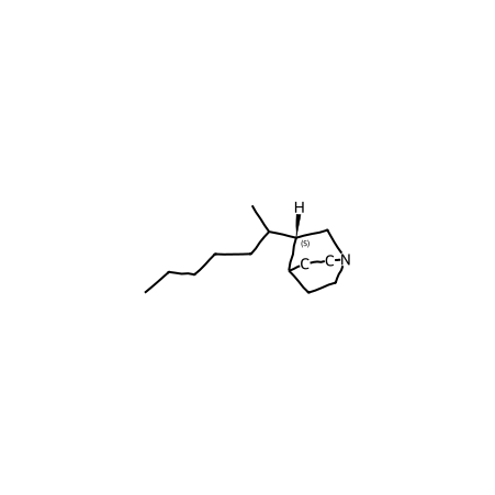 CCCCCC(C)[C@@H]1CN2CCC1CC2